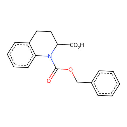 O=C(O)C1CCc2ccccc2N1C(=O)OCc1ccccc1